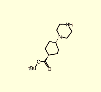 CC(C)(C)OC(=O)[C@H]1CC[C@H](N2CCNCC2)CC1